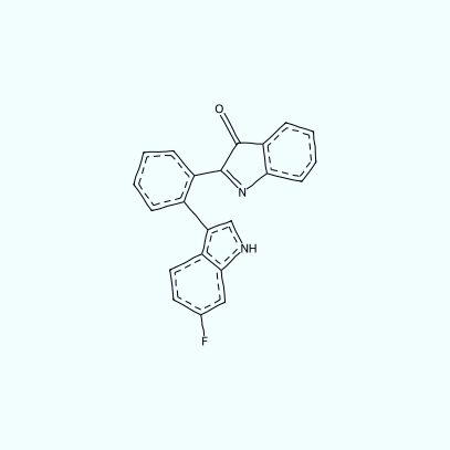 O=C1C(c2ccccc2-c2c[nH]c3cc(F)ccc23)=Nc2ccccc21